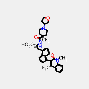 Cn1c(=O)c(-c2cccc3c(C[C@H](NC(=O)C4(C(F)(F)F)CCN([C@H]5CCOC5)CC4)C(=O)O)cccc23)c(C(F)(F)F)c2ccccc21